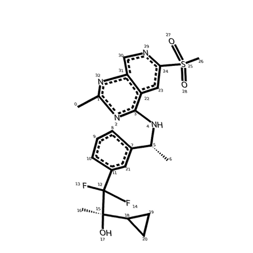 Cc1nc(N[C@H](C)c2cccc(C(F)(F)[C@](C)(O)C3CC3)c2)c2cc(S(C)(=O)=O)ncc2n1